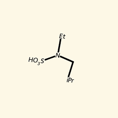 CCN(CC(C)C)S(=O)(=O)O